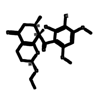 CCO[C@H]1CCC2=C(O1)[C@@]1(Oc3c(Cl)c(OC)cc(OC)c3C1=O)[C@H](C)CC2=O